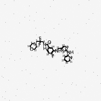 O=C(NCC(F)(F)CN1CCOCC1)c1ccc(F)c(NCc2cnc(Nc3ccccn3)s2)c1